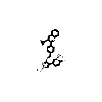 Cn1cc(-c2ccc(=O)n(C)c2)c(OCc2ccc(-c3nc4ccccc4cc3C3CC3)cc2)n1